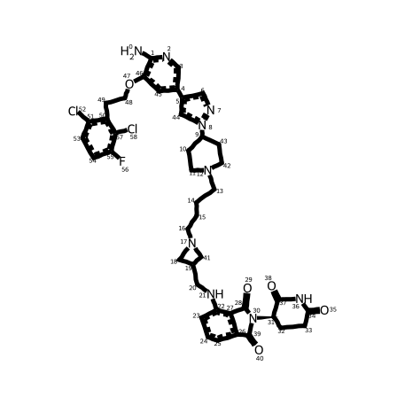 Nc1ncc(-c2cnn(C3CCN(CCCCN4CC(CNc5cccc6c5C(=O)N([C@@H]5CCC(=O)NC5=O)C6=O)C4)CC3)c2)cc1OCCc1c(Cl)ccc(F)c1Cl